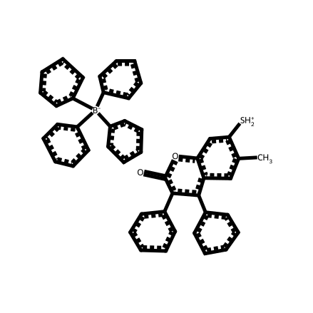 Cc1cc2c(-c3ccccc3)c(-c3ccccc3)c(=O)oc2cc1[SH2+].c1ccc([B-](c2ccccc2)(c2ccccc2)c2ccccc2)cc1